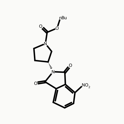 CCCCOC(=O)N1CC[C@@H](N2C(=O)c3cccc([N+](=O)[O-])c3C2=O)C1